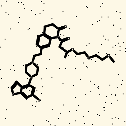 COCCOCCOC(C)CC(=O)N1C(=O)CCc2ccc(CCN3CCN(c4cc(F)cc5sccc45)CC3)cc21